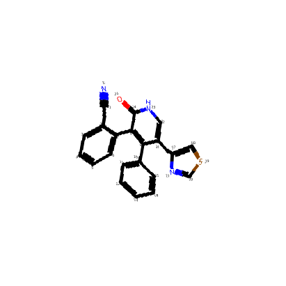 N#Cc1ccccc1-c1c(-c2ccccc2)c(-c2cscn2)c[nH]c1=O